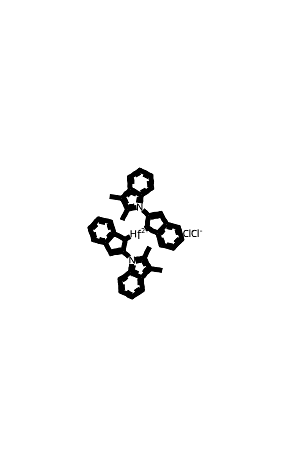 Cc1c(C)n(C2=Cc3ccccc3[CH]2[Hf+2][CH]2C(n3c(C)c(C)c4ccccc43)=Cc3ccccc32)c2ccccc12.[Cl-].[Cl-]